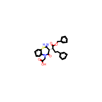 NC1Sc2ccccc2N(CC(=O)O)C(=O)[C@H]1C(CCc1ccccc1)C(=O)OCc1ccccc1